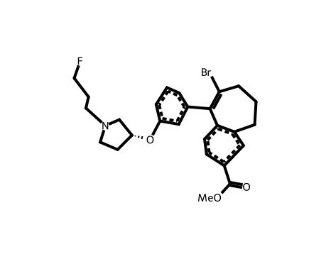 COC(=O)c1ccc2c(c1)CCCC(Br)=C2c1cccc(O[C@@H]2CCN(CCCF)C2)c1